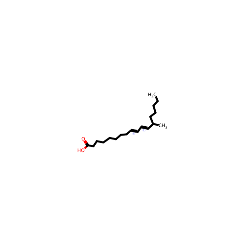 CCCCCC(C)/C=C/C=C/CCCCCCCC(=O)O